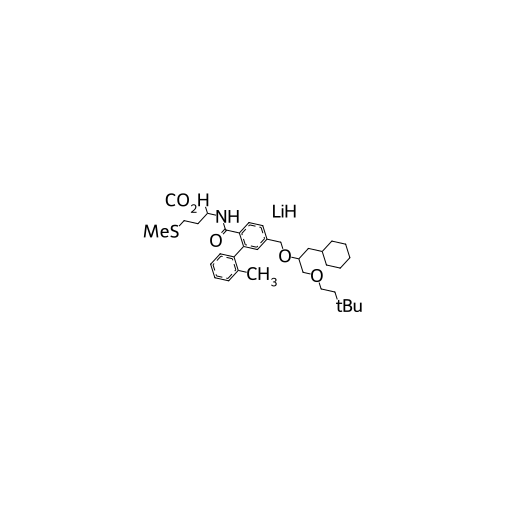 CSCCC(NC(=O)c1ccc(COC(COCCC(C)(C)C)CC2CCCCC2)cc1-c1ccccc1C)C(=O)O.[LiH]